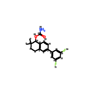 CC1(C)CCc2cc(-c3cc(F)cc(F)c3)ccc2C1OC(N)=O